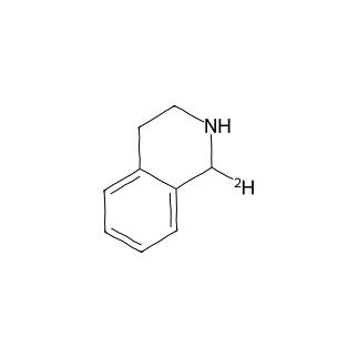 [2H]C1NCCc2ccccc21